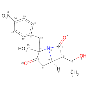 C[C@@H](O)[C@H]1C(=O)N2[C@@H]1CC(=O)C2(Cc1ccc([N+](=O)[O-])cc1)C(=O)O